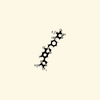 Nc1nc(-c2cc3ncn(CC4CCC[C@H](Nc5cn[nH]c(=O)c5C(F)(F)F)C4)c(=O)c3cc2F)cnc1C(F)(F)F